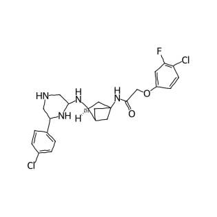 O=C(COc1ccc(Cl)c(F)c1)NC12CC(C1)[C@@H](NC1CNCC(c3ccc(Cl)cc3)N1)C2